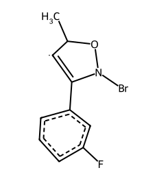 CC1[C]=C(c2cccc(F)c2)N(Br)O1